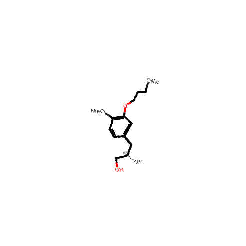 COCCCOc1cc(C[C@@H](CO)C(C)C)ccc1OC